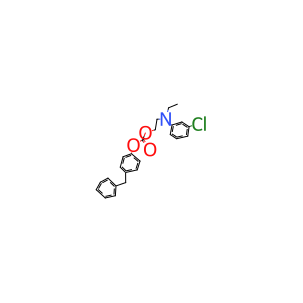 CCN(CCOC(=O)Oc1ccc(Cc2ccccc2)cc1)c1cccc(Cl)c1